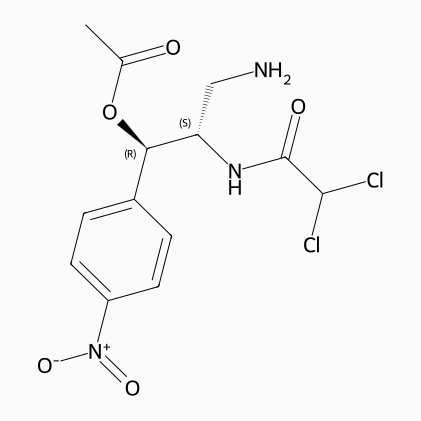 CC(=O)O[C@H](c1ccc([N+](=O)[O-])cc1)[C@H](CN)NC(=O)C(Cl)Cl